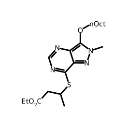 CCCCCCCCOc1c2ncnc(SC(C)CC(=O)OCC)c2nn1C